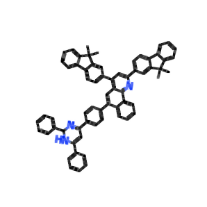 CC1(C)c2ccccc2-c2ccc(-c3cc(-c4ccc5c(c4)C(C)(C)c4ccccc4-5)c4cc(-c5ccc(C6=NC(c7ccccc7)NC(c7ccccc7)=C6)cc5)c5ccccc5c4n3)cc21